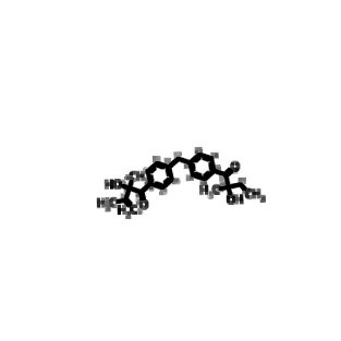 C=C(C)C(C)(O)C(=O)c1ccc(Cc2ccc(C(=O)C(C)(O)CC)cc2)cc1